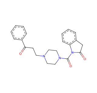 O=C(CCN1CCN(C(=O)N2C(=O)Cc3ccccc32)CC1)c1ccccc1